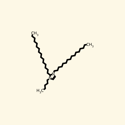 CCCCCCCCCCCCCCCCC1N(CCCCC)C=CN1CCCCCCCCCCCCCCCC